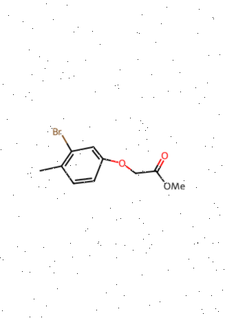 COC(=O)COc1ccc(C)c(Br)c1